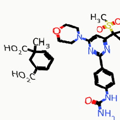 CC1(C(=O)O)C=CC=C(C(=O)O)C1.CS(=O)(=O)C1(c2cc(N3CCOCC3)nc(-c3ccc(NC(N)=O)cc3)n2)CC1